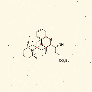 CCOC(=O)CCC(=N)c1nc2ccccc2n([C@H]2C[C@H]3CCC[C@@H](C2)N3C2CC3CCCC(C3)C2)c1=O